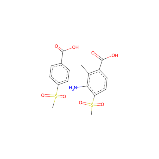 CS(=O)(=O)c1ccc(C(=O)O)cc1.Cc1c(C(=O)O)ccc(S(C)(=O)=O)c1N